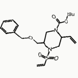 C=CC1CN(S(=O)(=O)C=C)C(COCc2ccccc2)CN1C(=O)OC(C)(C)C